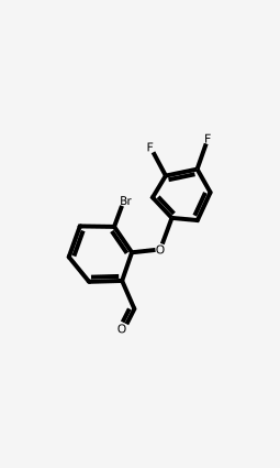 O=Cc1cccc(Br)c1Oc1ccc(F)c(F)c1